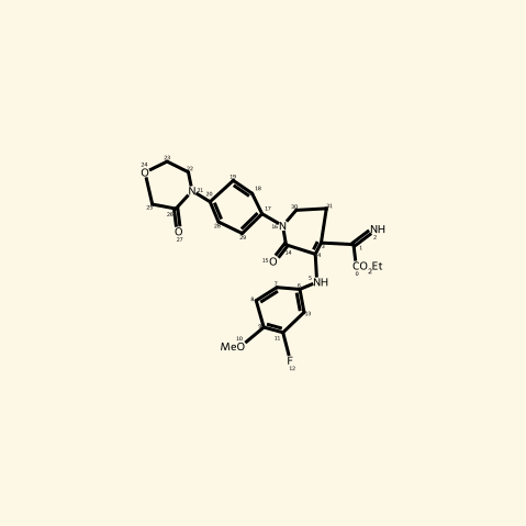 CCOC(=O)C(=N)C1=C(Nc2ccc(OC)c(F)c2)C(=O)N(c2ccc(N3CCOCC3=O)cc2)CC1